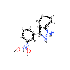 O=[N+]([O-])c1cccc(-c2n[nH]c3ccccc23)c1